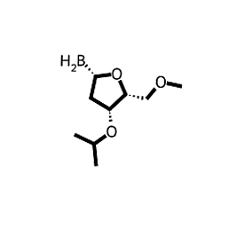 B[C@H]1C[C@@H](OC(C)C)[C@@H](COC)O1